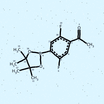 CC(=O)c1cc(F)c(B2OC(C)(C)C(C)(C)O2)cc1F